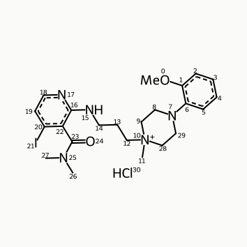 COc1ccccc1N1CC[N+](C)(CCCNc2nccc(I)c2C(=O)N(C)C)CC1.Cl